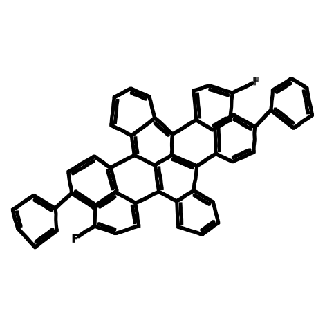 Fc1ccc(-c2c3ccccc3c(-c3ccc(-c4ccccc4)cc3)c3c(-c4ccc(F)cc4)c4ccccc4c(-c4ccc(-c5ccccc5)cc4)c23)cc1